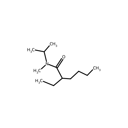 CCCCC(CC)C(=O)N(C)C(C)C